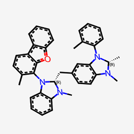 Cc1ccccc1N1c2cc(C[C@@H]3N(C)c4ccccc4N3c3c(C)ccc4c3oc3ccccc34)ccc2N(C)[C@H]1C